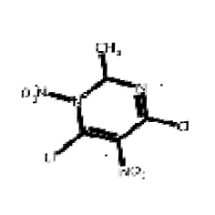 CC1N=C(Cl)C([N+](=O)[O-])=C(Cl)N1[N+](=O)[O-]